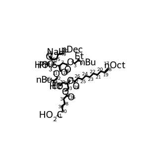 CCCCC(CC)COC(=O)CC(C(=O)OCC(CC)CCCC)S(=O)(=O)O.CCCCCCCC/C=C\CCCCCCCC(=O)OC(CO)COC(=O)CCCCC(=O)O.CCCCCCCCCCCCCC(=O)OC(C)C.[NaH]